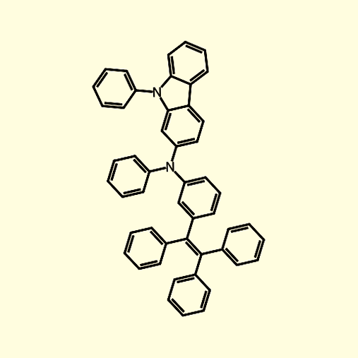 c1ccc(C(=C(c2ccccc2)c2cccc(N(c3ccccc3)c3ccc4c5ccccc5n(-c5ccccc5)c4c3)c2)c2ccccc2)cc1